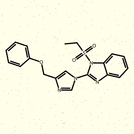 CCS(=O)(=O)n1c(-n2cnc(COc3ccccc3)c2)nc2ccccc21